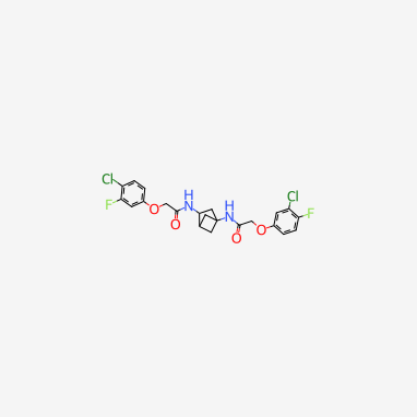 O=C(COc1ccc(Cl)c(F)c1)NC1CC2(NC(=O)COc3ccc(F)c(Cl)c3)CC1C2